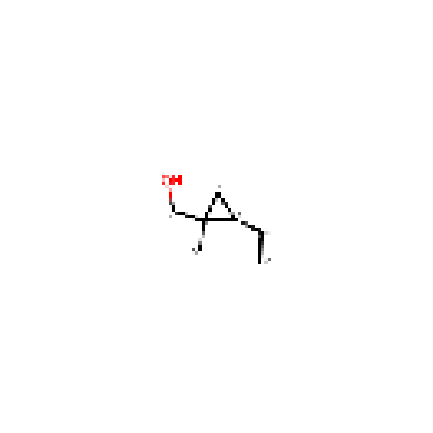 C=C[C@@H]1CC1(C)CO